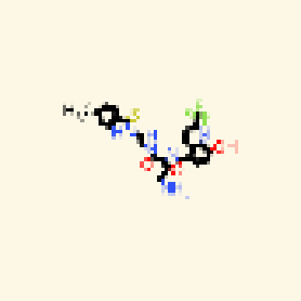 Cc1ccc(C(=S)NCCNC(=O)c2nc(-c3ccc(O)c4nc(C(F)(F)F)ccc34)oc2CN)cc1